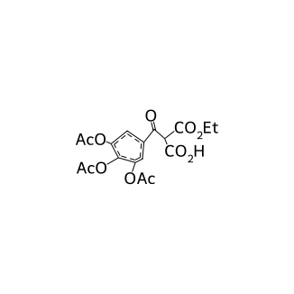 CCOC(=O)C(C(=O)O)C(=O)c1cc(OC(C)=O)c(OC(C)=O)c(OC(C)=O)c1